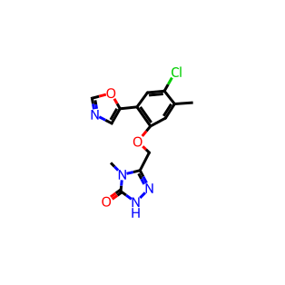 Cc1cc(OCc2n[nH]c(=O)n2C)c(-c2cnco2)cc1Cl